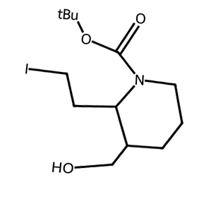 CC(C)(C)OC(=O)N1CCCC(CO)C1CCI